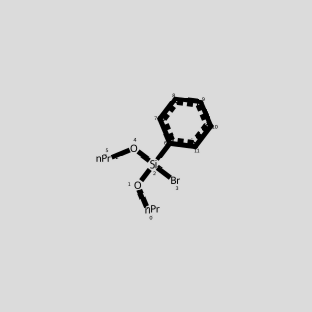 CCCO[Si](Br)(OCCC)c1ccccc1